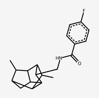 CC1C2CC3C1C1C(C)C2C3C1CNC(=O)c1ccc(F)cc1